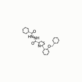 O=C(NNC(=O)c1csc(-c2ccccc2OCc2ccccc2)n1)c1ccccc1